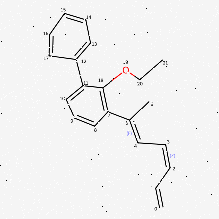 C=C/C=C\C=C(/C)c1cccc(-c2ccccc2)c1OCC